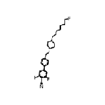 N#Cc1c(F)cc(-c2ccc(CC[C@H]3CC[C@H](CCCC=CCCF)CC3)cc2)cc1F